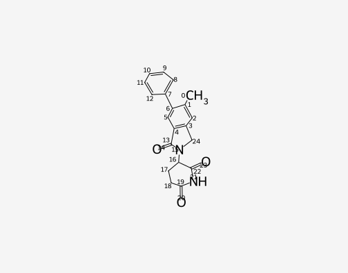 Cc1cc2c(cc1-c1ccccc1)C(=O)N(C1CCC(=O)NC1=O)C2